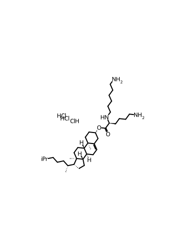 CC(C)CCC[C@@H](C)[C@H]1CC[C@H]2[C@@H]3CC=C4C[C@@H](OC(=O)[C@H](CCCCN)NCCCCCCN)CC[C@]4(C)[C@H]3CC[C@]12C.Cl.Cl.Cl